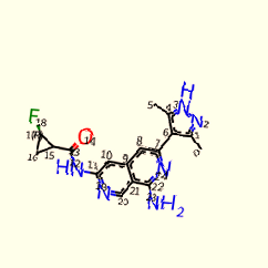 Cc1n[nH]c(C)c1-c1cc2cc(NC(=O)C3C[C@H]3F)ncc2c(N)n1